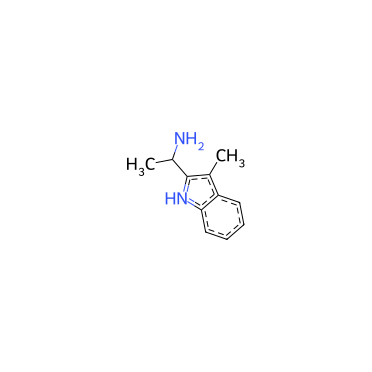 Cc1c(C(C)N)[nH]c2ccccc12